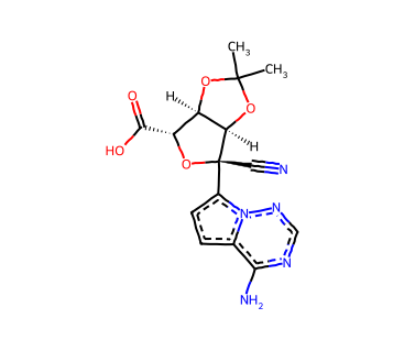 CC1(C)O[C@@H]2[C@@H](C(=O)O)O[C@@](C#N)(c3ccc4c(N)ncnn34)[C@@H]2O1